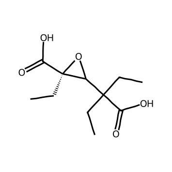 CCC(CC)(C(=O)O)C1O[C@]1(CC)C(=O)O